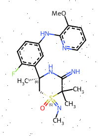 CN=[S@]1(=O)C[C@@](C)(c2cc(Nc3ncccc3OC)ccc2F)NC(=N)C1(C)C